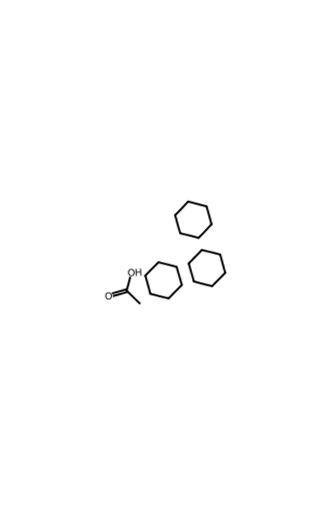 C1CCCCC1.C1CCCCC1.C1CCCCC1.CC(=O)O